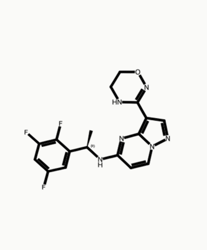 C[C@@H](Nc1ccn2ncc(C3=NOCCN3)c2n1)c1cc(F)cc(F)c1F